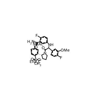 CCOC(=O)[C@H]1CCN(C(=O)[C@@H](Nc2ccc(F)c(C(N)=O)c2)c2ccc(F)c(OC)c2)[C@H]1c1cc(NC(C)=O)ccc1S(C)(=O)=O